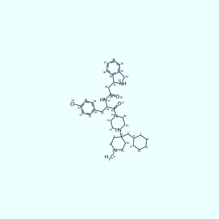 CN1CCC(CC2CCCCC2)(N2CCN(C(=O)C(Cc3ccc(Cl)cc3)NC(=O)CC3NCc4ccccc43)CC2)CC1